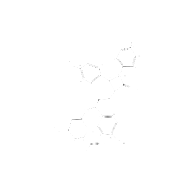 O=C(O)[C@@H]1C[C@H](O)CC(O[C@@H](CCC2C(=O)N(c3ccc(F)cc3)C2c2ccc(O)cc2)c2ccc(F)cc2)O1